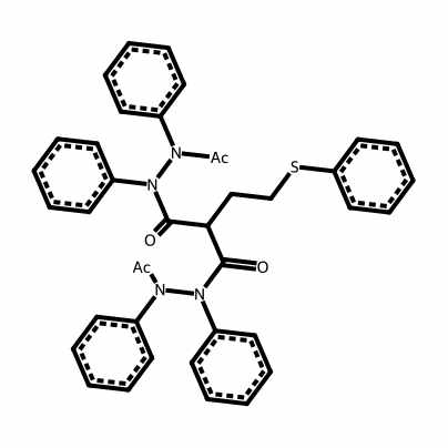 CC(=O)N(c1ccccc1)N(C(=O)C(CCSc1ccccc1)C(=O)N(c1ccccc1)N(C(C)=O)c1ccccc1)c1ccccc1